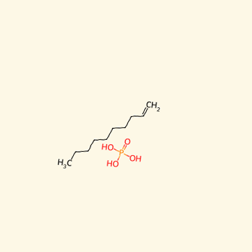 C=CCCCCCCCC.O=P(O)(O)O